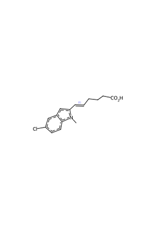 Cn1c(/C=C/CCCC(=O)O)cc2cc(Cl)ccc21